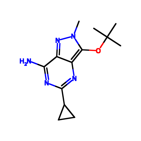 Cn1nc2c(N)nc(C3CC3)nc2c1OC(C)(C)C